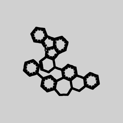 C1=Cc2c(c3cccc4c5ccccc5n2c34)C(c2ccc3c4c2-c2cc(-c5ccccc5)ccc2CCC4Cc2ccccc2-3)C1